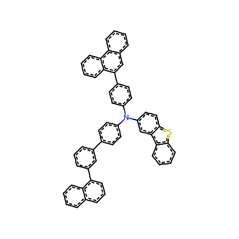 c1cc(-c2ccc(N(c3ccc(-c4cc5ccccc5c5ccccc45)cc3)c3ccc4sc5ccccc5c4c3)cc2)cc(-c2cccc3ccccc23)c1